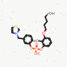 CCCCCCCCCCCCCCOc1cccc(OP(=O)(O)Oc2cccc(CN3C=CSC3)c2)c1OC